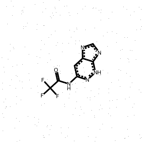 O=C(Nc1cc2ncnc-2[nH]n1)C(F)(F)F